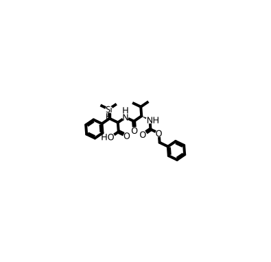 CC(C)[C@H](NC(=O)OCc1ccccc1)C(=O)NC(C(=O)O)C(c1ccccc1)[SiH](C)C